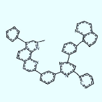 Cc1cc(-c2ccccc2)c2ccc3ccc(-c4cccc(-c5nc(-c6ccccc6)cc(-c6cccc(-c7cccc8cccnc78)c6)n5)c4)nc3c2n1